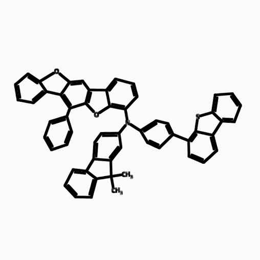 CC1(C)c2ccccc2-c2ccc(N(c3ccc(-c4cccc5c4sc4ccccc45)cc3)c3cccc4c3oc3c(-c5ccccc5)c5c(cc34)oc3ccccc35)cc21